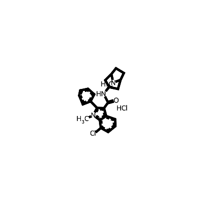 CN1C2CCC1CC(NC(=O)c1c(-c3ccccc3)n(C)c3c(Cl)cccc13)C2.Cl